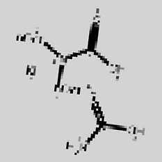 CCCCCCCCN(CCCCCCCC)C(O)=S.NC(O)=S.[KH]